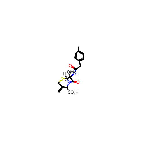 C=C1CS[C@H]2N(C(=O)C2(NC(=O)Cc2ccc(C)cc2)OC)C1C(=O)O